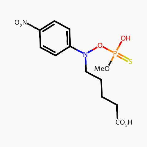 COP(O)(=S)ON(CCCCC(=O)O)c1ccc([N+](=O)[O-])cc1